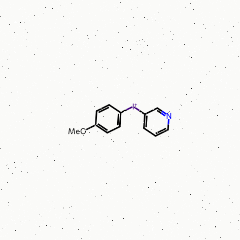 COc1ccc([I+]c2cccnc2)cc1